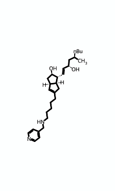 CCCC[C@@H](C)C[C@H](O)/C=C/[C@@H]1[C@H]2CC(CCCCCNCc3ccncc3)=C[C@H]2C[C@H]1O